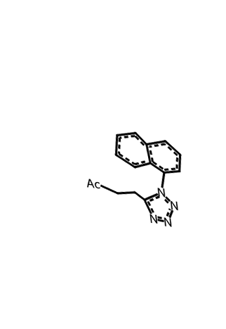 CC(=O)CCc1nnnn1-c1cccc2ccccc12